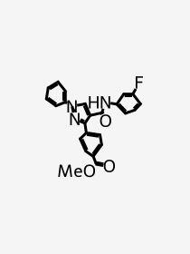 COC(=O)c1ccc(-c2nn(-c3ccccc3)cc2C(=O)Nc2cccc(F)c2)cc1